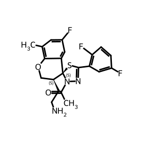 CC(=O)N1N=C(c2cc(F)ccc2F)S[C@@]12c1cc(F)cc(C)c1OC[C@@H]2CCN